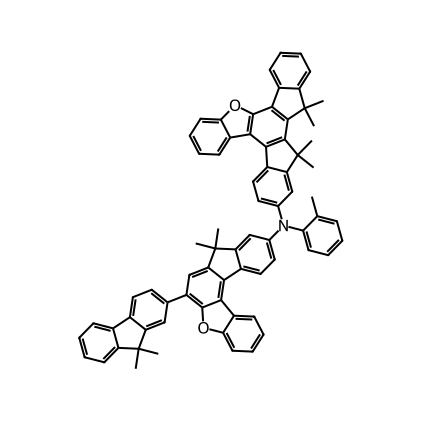 Cc1ccccc1N(c1ccc2c(c1)C(C)(C)c1cc(-c3ccc4c(c3)C(C)(C)c3ccccc3-4)c3oc4ccccc4c3c1-2)c1ccc2c(c1)C(C)(C)c1c3c(c4oc5ccccc5c4c1-2)-c1ccccc1C3(C)C